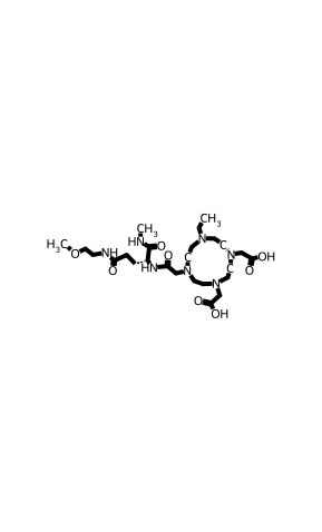 CCN1CCN(CC(=O)O)CCN(CC(=O)O)CCN(CC(=O)N[C@H](CCC(=O)NCCOC)C(=O)NC)CC1